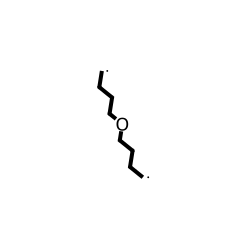 [CH2]CCCOCCC[CH2]